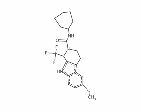 COc1ccc2[nH]c3c(c2c1)CCN(C(=O)NC1CCCCC1)C3C(F)(F)F